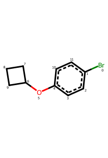 Brc1ccc(OC2CCC2)cc1